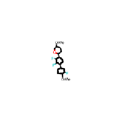 COc1ccc(-c2ccc(C3CCC(OC)CO3)c(F)c2F)cc1F